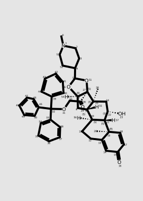 CN1CCC(C2O[C@@H]3C[C@H]4[C@@H]5CCC6=CC(=O)C=C[C@]6(C)[C@H]5[C@@H](O)C[C@]4(C)[C@]3(C(=O)COC(c3ccccc3)(c3ccccc3)c3ccccc3)O2)CC1